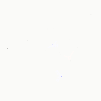 CCc1ccc(OCc2ccccn2)c(C(Nc2ccc(C#N)cc2)C(=O)O)c1